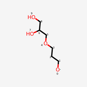 [O]CCCOCC(O)CO